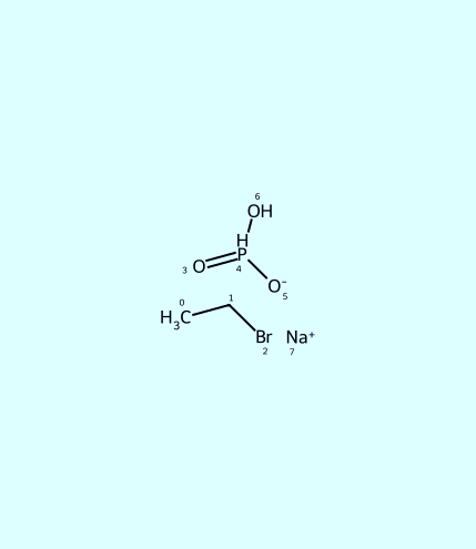 CCBr.O=[PH]([O-])O.[Na+]